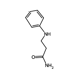 NC(=O)CCNc1cc[c]cc1